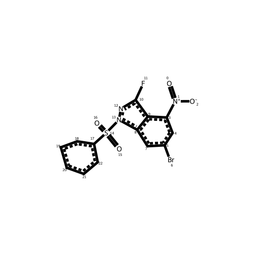 O=[N+]([O-])c1cc(Br)cc2c1c(F)nn2S(=O)(=O)c1ccccc1